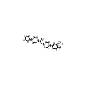 O=C(CN1CCN(c2ccc(F)c(C(F)(F)F)c2)CC1)N1CCN(C2CCCC2)CC1